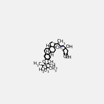 C#CCC(O)(/C=C/[C@@H](C)[C@H]1CC[C@H]2[C@@H]3CCc4cc(O[Si](C(C)C)(C(C)C)C(C)C)ccc4[C@H]3CC[C@]12C)CC#C